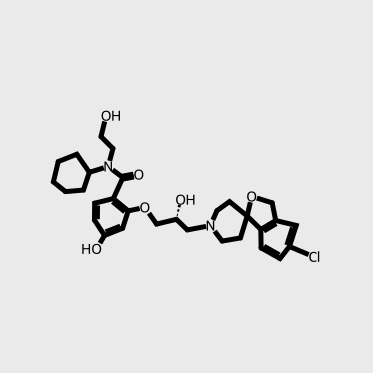 O=C(c1ccc(O)cc1OC[C@H](O)CN1CCC2(CC1)OCc1cc(Cl)ccc12)N(CCO)C1CCCCC1